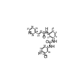 Cc1ccc(NC(=O)Nc2ccc(F)c(Cl)c2)cc1NC(=O)C=Cc1cccnc1